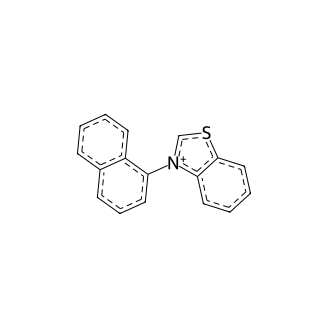 c1ccc2c(-[n+]3csc4ccccc43)cccc2c1